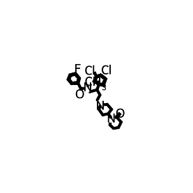 CN(CC(CCN1CCC(N2CCCCC2=O)CC1)c1ccc(Cl)c(Cl)c1)C(=O)c1cccc(F)c1